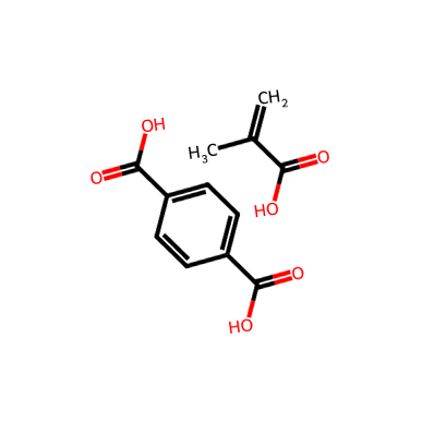 C=C(C)C(=O)O.O=C(O)c1ccc(C(=O)O)cc1